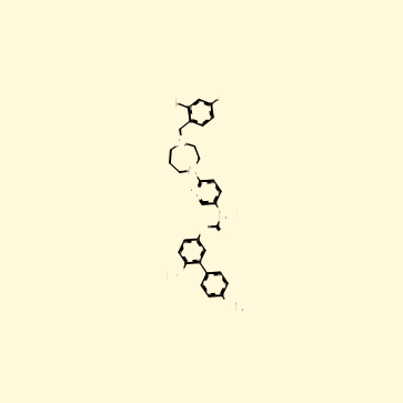 Cc1ccc(OC(=O)Nc2ccc(N3CCCN(Cc4ccc(F)cc4Cl)CC3)nc2)cc1-c1ccc(C#N)cc1